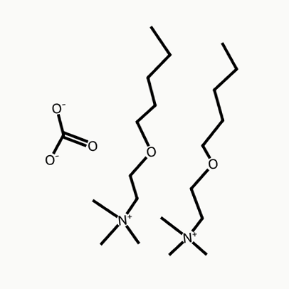 CCCCCOCC[N+](C)(C)C.CCCCCOCC[N+](C)(C)C.O=C([O-])[O-]